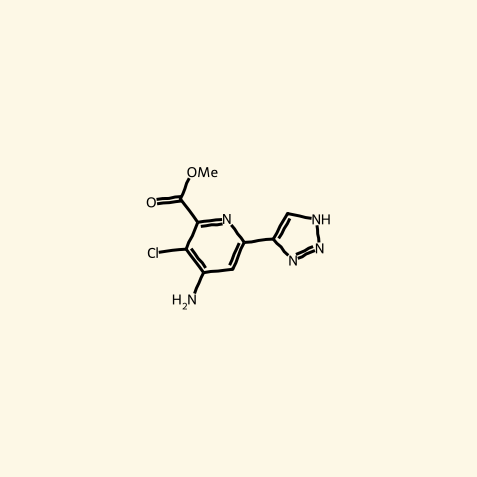 COC(=O)c1nc(-c2c[nH]nn2)cc(N)c1Cl